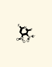 O=[N+]([O-])c1cc(F)nc(F)c1[N+](=O)[O-]